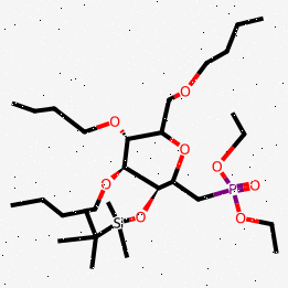 CCCCOCC1OC(CP(=O)(OCC)OCC)[C@@H](O[Si](C)(C)C(C)(C)C)[C@@H](OCCCC)[C@@H]1OCCCC